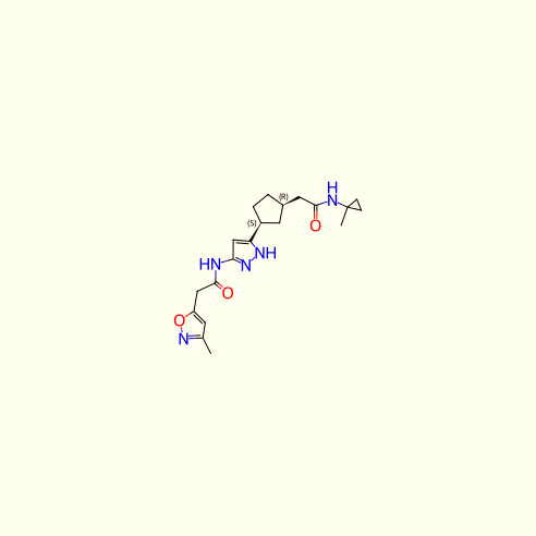 Cc1cc(CC(=O)Nc2cc([C@H]3CC[C@@H](CC(=O)NC4(C)CC4)C3)[nH]n2)on1